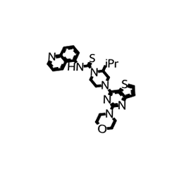 CC(C)C1CN(c2nc(N3CCOCC3)nc3ccsc23)CCN1C(=S)Nc1cccc2ncccc12